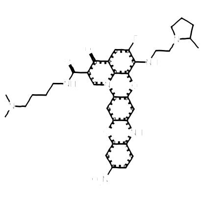 CC1CCCN1CCNc1c(F)cc2c(=O)c(C(=O)NCCCCN(C)C)cn3c4cc5oc6cc([N+](=O)[O-])ccc6[nH]c5cc4oc1c23